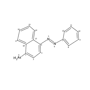 [AsH2]c1ccc(N=Nc2ccccc2)c2ccccc12